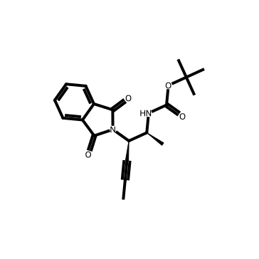 CC#C[C@H]([C@H](C)NC(=O)OC(C)(C)C)N1C(=O)c2ccccc2C1=O